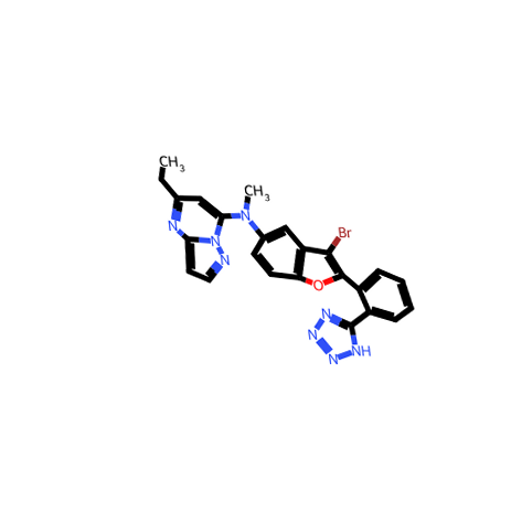 CCc1cc(N(C)c2ccc3oc(-c4ccccc4-c4nnn[nH]4)c(Br)c3c2)n2nccc2n1